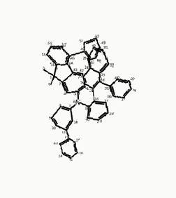 CC1(C)c2cc(N(c3cccc(-c4ccccc4)c3)c3ccccc3-c3ccc4ccccc4c3-c3ccccc3)ccc2-c2c(-c3ccccc3)cccc21